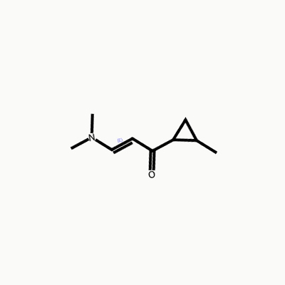 CC1CC1C(=O)/C=C/N(C)C